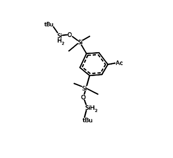 CC(=O)c1cc([Si](C)(C)O[SiH2]C(C)(C)C)cc([Si](C)(C)O[SiH2]C(C)(C)C)c1